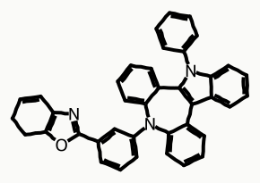 C1=Cc2nc(-c3cccc(N4c5ccccc5-c5c(n(-c6ccccc6)c6ccccc56)-c5ccccc54)c3)oc2CC1